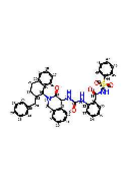 O=C(NCC(=O)N(Cc1ccccc1)C1c2ccccc2CCC1Cc1ccccc1)Nc1ccccc1C(=O)NS(=O)(=O)c1ccccc1